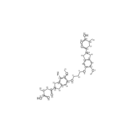 COc1cc2c(cc1OCCCOc1cc3c(c(F)c1OC)CN(C(=O)CC(C)C(=O)O)C3)CN(C(=O)CC(C)C(=O)O)C2